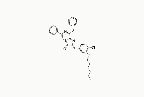 CCCCCCOc1cc(/C=C2\N=C3C(Cc4ccccc4)=NC(c4ccccc4)=CN3C2=O)ccc1Cl